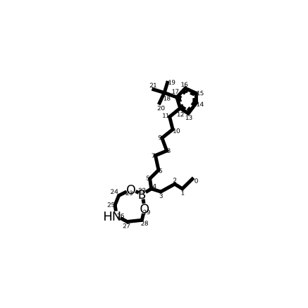 CCCCC(CCCCCCCc1ccccc1C(C)(C)C)B1OCCNCCO1